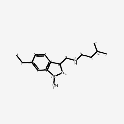 CCc1ccc2c(c1)B(O)OC2CNCCC(C)C